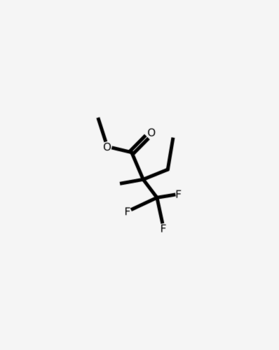 CCC(C)(C(=O)OC)C(F)(F)F